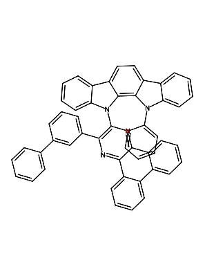 c1ccc(-c2cccc(-c3nc4c5ccccc5c5ccccc5c4nc3-n3c4ccccc4c4ccc5c6ccccc6n(-c6ccccc6)c5c43)c2)cc1